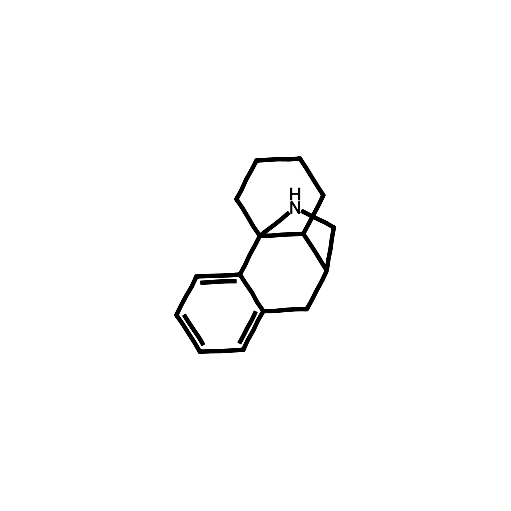 c1ccc2c(c1)CC1CNC23CCCCC13